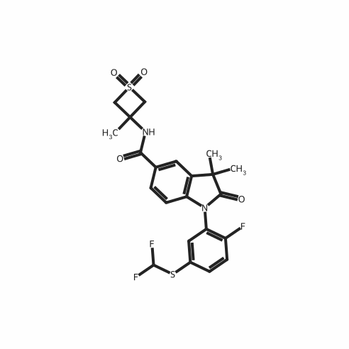 CC1(NC(=O)c2ccc3c(c2)C(C)(C)C(=O)N3c2cc(SC(F)F)ccc2F)CS(=O)(=O)C1